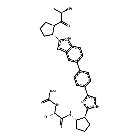 COC(=O)N[C@H](C(=O)N[C@H]1CCC[C@@H]1c1nc(-c2ccc(-c3ccc4[nH]c([C@@H]5CCCN5C(=O)[C@@H](C)C(C)C)nc4c3)cc2)c[nH]1)C(C)C